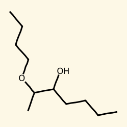 CCCCOC(C)C(O)CCCC